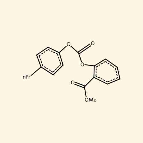 CCCc1ccc(OC(=O)Oc2ccccc2C(=O)OC)cc1